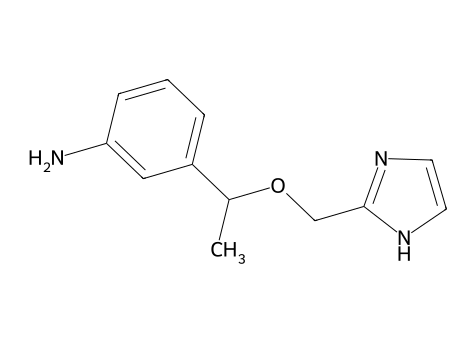 CC(OCc1ncc[nH]1)c1cccc(N)c1